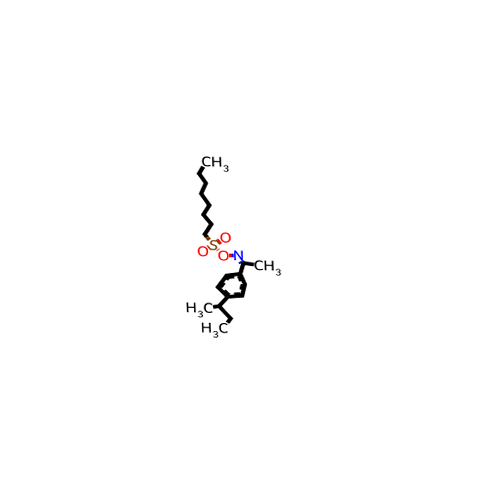 CCCCCCCCS(=O)(=O)O/N=C(/C)c1ccc(C(C)CC)cc1